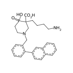 NCCCCC1(C(=O)O)CN(Cc2ccccc2-c2ccc3ccccc3c2)CCP1(=O)O